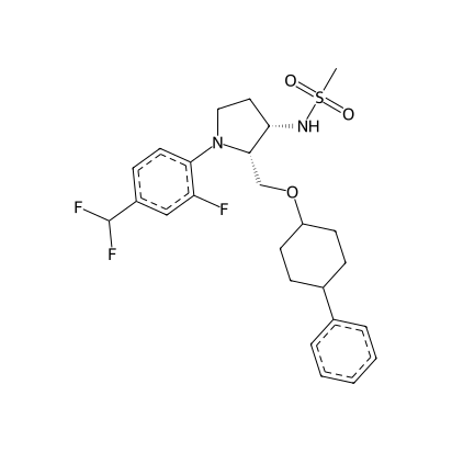 CS(=O)(=O)N[C@H]1CCN(c2ccc(C(F)F)cc2F)[C@H]1COC1CCC(c2ccccc2)CC1